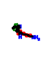 C=C(Cl)/C=C(Cl)\C=C1/CCN(C)CC1c1cccc(S(=O)(=O)NCCOCCOCCOCCN)c1